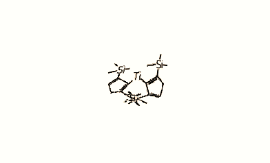 C[Si](C)(C)C1=CCC([Si](C)(C)C)=[C]1[Ti][C]1=C([Si](C)(C)C)CC=C1[Si](C)(C)C